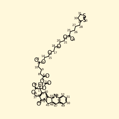 CCC1(OC(=O)OC(=O)CCCC(=O)OCCOCCOCCOC(=O)CCCCC2CCSS2)C(=O)OCc2c1cc1n(c2=O)Cc2cc3ccccc3nc2-1